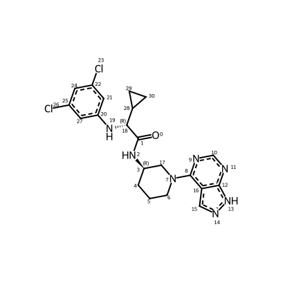 O=C(N[C@@H]1CCCN(c2ncnc3[nH]ncc23)C1)[C@H](Nc1cc(Cl)cc(Cl)c1)C1CC1